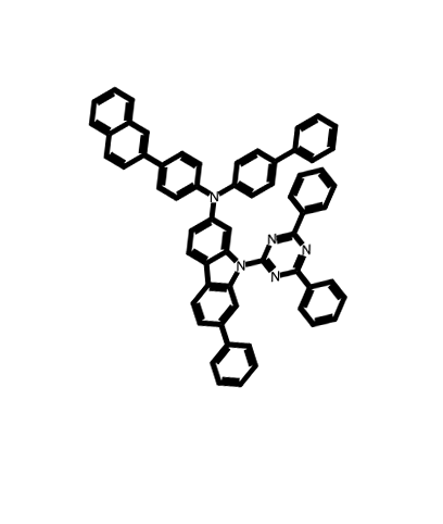 c1ccc(-c2ccc(N(c3ccc(-c4ccc5ccccc5c4)cc3)c3ccc4c5ccc(-c6ccccc6)cc5n(-c5nc(-c6ccccc6)nc(-c6ccccc6)n5)c4c3)cc2)cc1